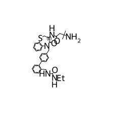 CCNC(=O)NCc1ccccc1-c1ccc(CN2C(=O)[C@H](NC(=O)CC(C)(C)N)CSc3ccccc32)cc1